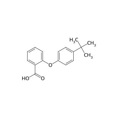 CC(C)(C)c1ccc(Oc2ccccc2C(=O)O)cc1